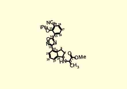 COC(=O)C(C)NC1CCc2c(-c3noc(-c4cccc(C#N)c4OC(C)C)n3)cccc21